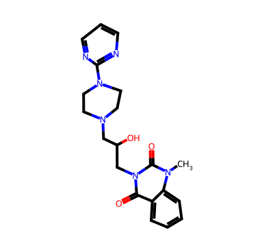 Cn1c(=O)n(CC(O)CN2CCN(c3ncccn3)CC2)c(=O)c2ccccc21